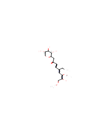 CCC(/C=C/C(=O)CC1OC[C@@H](O)C(O)[C@H]1O)=C\C(OC)=C(\O)COC